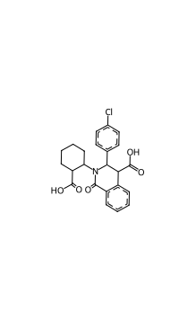 O=C(O)C1CCCCC1N1C(=O)c2ccccc2C(C(=O)O)C1c1ccc(Cl)cc1